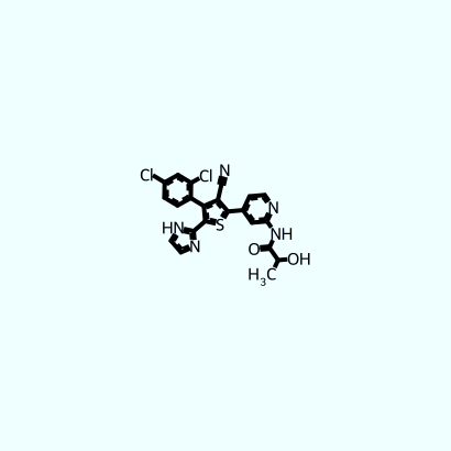 CC(O)C(=O)Nc1cc(-c2sc(-c3ncc[nH]3)c(-c3ccc(Cl)cc3Cl)c2C#N)ccn1